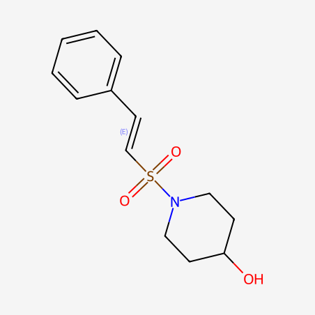 O=S(=O)(/C=C/c1ccccc1)N1CCC(O)CC1